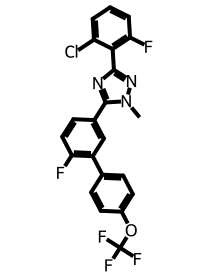 Cn1nc(-c2c(F)cccc2Cl)nc1-c1ccc(F)c(-c2ccc(OC(F)(F)F)cc2)c1